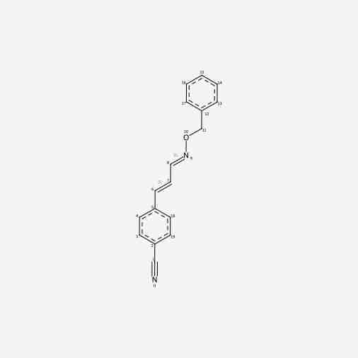 N#Cc1ccc(/C=C/C=N/OCc2ccccc2)cc1